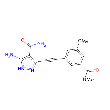 CNC(=O)c1cc(C#Cc2n[nH]c(N)c2C(N)=O)cc(OC)c1